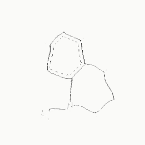 [CH2]C(=O)N1CCCc2ccccc21